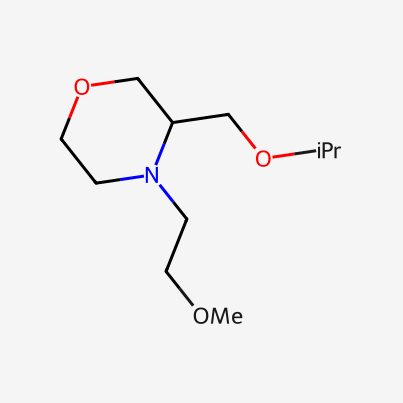 COCCN1CCOCC1COC(C)C